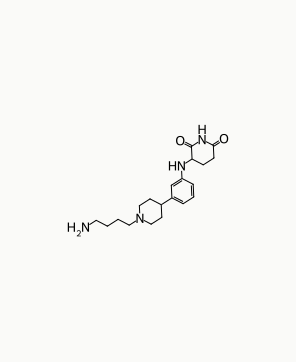 NCCCCN1CCC(c2cccc(NC3CCC(=O)NC3=O)c2)CC1